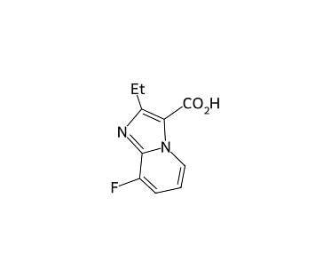 CCc1nc2c(F)cccn2c1C(=O)O